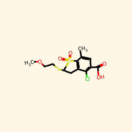 COCCSC1Cc2c(Cl)c(C(=O)O)cc(C)c2S1(=O)=O